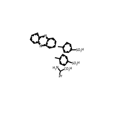 CC(C)C(N)C(=O)O.Cc1ccc(S(=O)(=O)O)cc1.Cc1ccc(S(=O)(=O)O)cc1.c1ccc2nc3ccccc3nc2c1